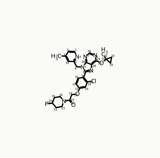 Cc1ccnc(Cn2c(-c3ccc(OCC(=O)N4CCC(F)CC4)cc3Cl)nc3c(OC4(C)CC4)ncnc32)c1